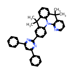 CC1(C)c2cc(-c3nc(-c4ccccc4)cc(-c4ccccc4)n3)ccc2N2c3ncccc3C(C)(C)c3cccc1c32